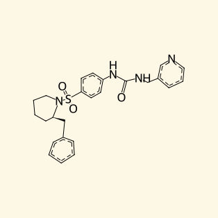 O=C(NCc1cccnc1)Nc1ccc(S(=O)(=O)N2CCCC[C@@H]2Cc2ccccc2)cc1